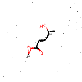 CCOC(=O)C=C[C@H](C)O